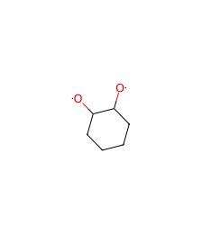 [O]C1CCCCC1[O]